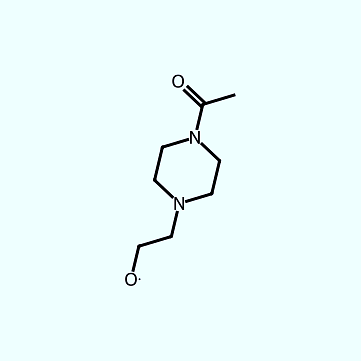 CC(=O)N1CCN(CC[O])CC1